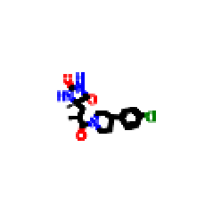 C[C@@H](C[C@@]1(C)NC(=O)NC1=O)C(=O)N1CCC(c2ccc(Cl)cc2)CC1